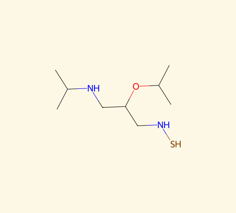 CC(C)NCC(CNS)OC(C)C